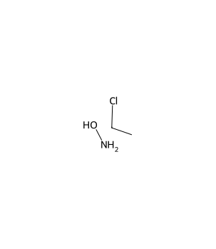 CCCl.NO